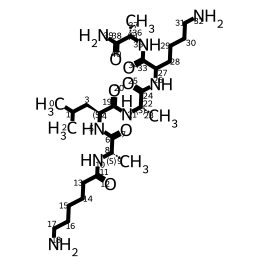 CC(C)C[C@H](NC(=O)[C@H](C)NC(=O)CCCCCN)C(=O)N[C@@H](C)C(=O)NC(CCCCN)C(=O)N[C@@H](C)C(N)=O